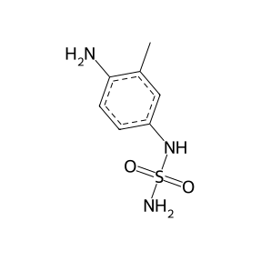 Cc1cc(NS(N)(=O)=O)ccc1N